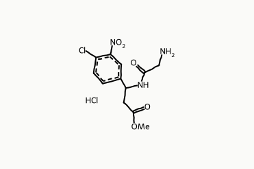 COC(=O)CC(NC(=O)CN)c1ccc(Cl)c([N+](=O)[O-])c1.Cl